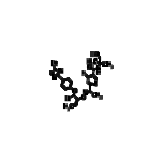 CC=C(O/N=C(\C)c1ccc(C(=O)NC(C)(C)CO)c(F)c1)C(CC)Oc1ccc(-c2noc(CC)n2)cc1